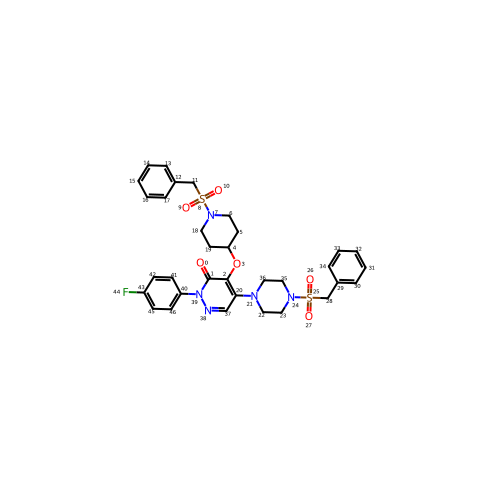 O=c1c(OC2CCN(S(=O)(=O)Cc3ccccc3)CC2)c(N2CCN(S(=O)(=O)Cc3ccccc3)CC2)cnn1-c1ccc(F)cc1